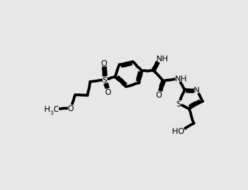 COCCCS(=O)(=O)c1ccc(C(=N)C(=O)Nc2ncc(CO)s2)cc1